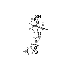 O=C(CC1CNCCS1(=O)=O)N1CC(Oc2ccc3c(c2C(O)O)OB(O)CC3)C1